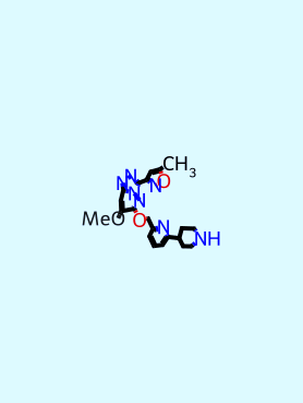 COc1cc2nnc(-c3cc(C)on3)n2nc1OCc1cccc(C2CCNCC2)n1